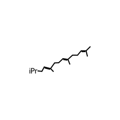 CC(C)=CCC/C(C)=C/CC/C(C)=C/CC(C)C